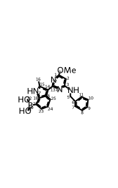 COc1cc(NCc2ccccc2)nc(-c2c(C)[nH]c3c(B(O)O)cccc23)n1